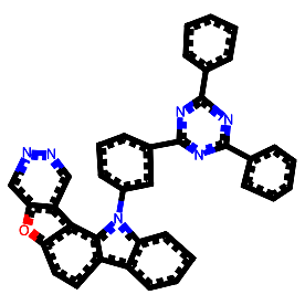 c1ccc(-c2nc(-c3ccccc3)nc(-c3cccc(-n4c5ccccc5c5ccc6oc7cnncc7c6c54)c3)n2)cc1